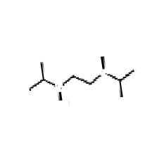 CC(C)N(C)CCN(N)C(C)C